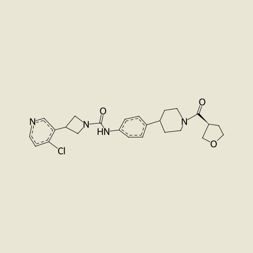 O=C(Nc1ccc(C2CCN(C(=O)[C@H]3CCOC3)CC2)cc1)N1CC(c2cnccc2Cl)C1